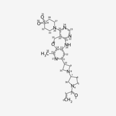 C=CC(=O)N1CCC(N2CC(c3cc4c(c(C)n3)OCc3c(ncnc3N3CCS(=O)(=O)CC3)N4)C2)C1